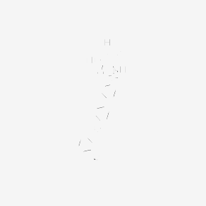 COc1cccc(COc2ccc(-c3ccc(S(=O)(=O)NC(C(=O)O)C(C)C)cc3)cc2)c1